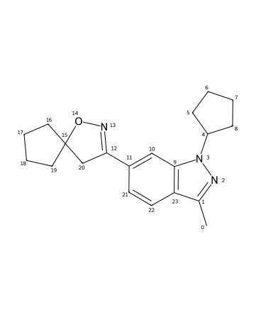 Cc1nn(C2CCCC2)c2cc(C3=NOC4(CCCC4)C3)ccc12